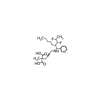 CCCCCC(C(NCC#CCC(C)(C(=O)O)C(=O)O)c1ccccc1)C(F)C(C)F